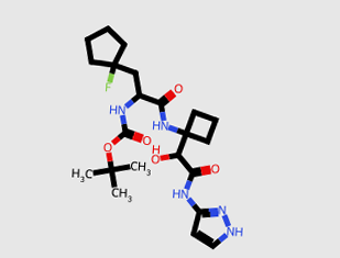 CC(C)(C)OC(=O)NC(CC1(F)CCCC1)C(=O)NC1(C(O)C(=O)Nc2cc[nH]n2)CCC1